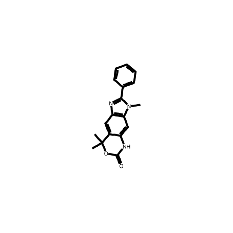 Cn1c(-c2ccccc2)nc2cc3c(cc21)NC(=O)OC3(C)C